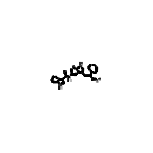 O=C(O)C(=Cc1c[nH]c2ncc(NC(=O)c3c[nH]c4ccccc34)cc12)c1ccccc1